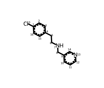 Clc1ccc(CCNCc2cccnc2)cc1